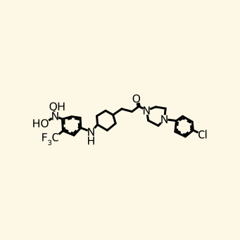 O=C(CCC1CCC(Nc2ccc(N(O)O)c(C(F)(F)F)c2)CC1)N1CCN(c2ccc(Cl)cc2)CC1